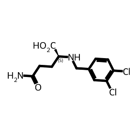 NC(=O)CC[C@H](NCc1ccc(Cl)c(Cl)c1)C(=O)O